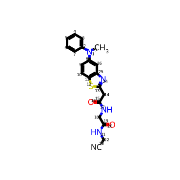 CN(c1ccccc1)c1ccc2sc(CC(=O)NCC(=O)NCC#N)nc2c1